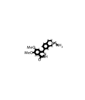 COc1cc2c(-c3ccc4c(c3)CN(SN)CC4)n[nH]c(=O)c2cc1OC